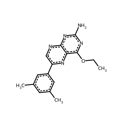 CCOc1nc(N)nc2ncc(-c3cc(C)cc(C)c3)nc12